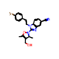 CC1=C(CO)C(C)N(c2nc3cc(C#N)ccc3n2CCc2ccc(Br)cc2)O1